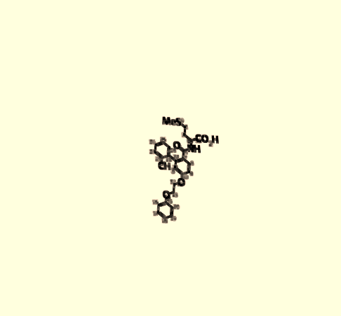 CSCC[C@H](NC(=O)c1ccc(OCCOc2ccccc2)cc1-c1ccccc1C)C(=O)O